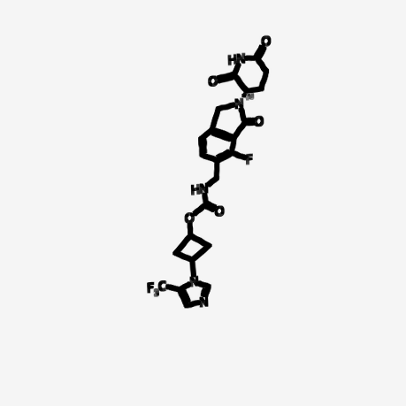 O=C1CC[C@H](N2Cc3ccc(CNC(=O)OC4CC(n5cncc5C(F)(F)F)C4)c(F)c3C2=O)C(=O)N1